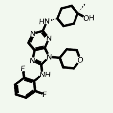 C[C@]1(O)CC[C@H](Nc2ncc3nc(Nc4c(F)cccc4F)n(C4CCOCC4)c3n2)CC1